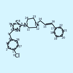 Clc1ccc(Cc2nsc(N3CCN(CC=Cc4ccccc4)CC3)n2)cc1